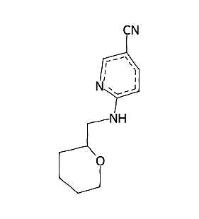 N#Cc1ccc(NCC2CCCCO2)nc1